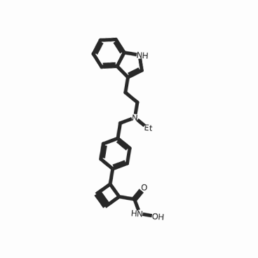 CCN(CCc1c[nH]c2ccccc12)Cc1ccc(C2C#CC2C(=O)NO)cc1